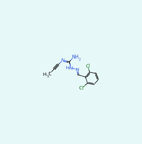 CC#C/N=C(/N)N/N=C/c1c(Cl)cccc1Cl